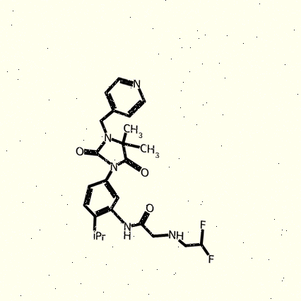 CC(C)c1ccc(N2C(=O)N(Cc3ccncc3)C(C)(C)C2=O)cc1NC(=O)CNCC(F)F